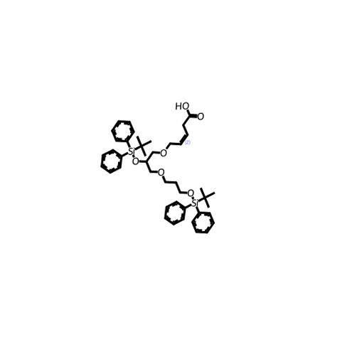 CC(C)(C)[Si](OCCCOCC(COC/C=C\CC(=O)O)O[Si](c1ccccc1)(c1ccccc1)C(C)(C)C)(c1ccccc1)c1ccccc1